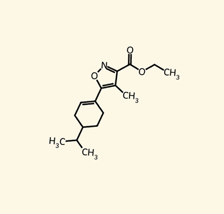 CCOC(=O)c1noc(C2=CCC(C(C)C)CC2)c1C